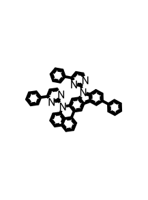 c1ccc(-c2ccc3c(c2)c2cc4c(cc2n3-c2nccc(-c3ccccc3)n2)N(c2nccc(-c3ccccc3)n2)c2cccc3cccc-4c23)cc1